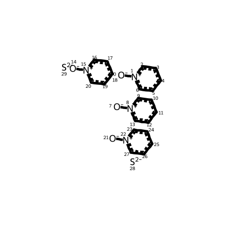 [O-][n+]1ccccc1.[O-][n+]1ccccc1.[O-][n+]1ccccc1.[O-][n+]1ccccc1.[S-2].[S-2]